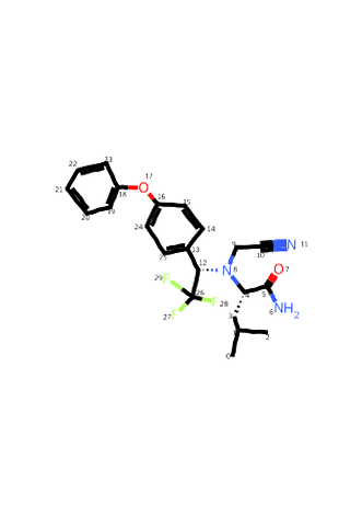 CC(C)C[C@@H](C(N)=O)N(CC#N)[C@@H](c1ccc(Oc2ccccc2)cc1)C(F)(F)F